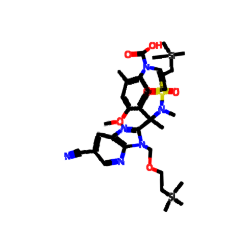 COc1cc(C)c2c(ccn2C(=O)O)c1C(C)(c1nc2cc(C#N)cnc2n1COCC[Si](C)(C)C)N(C)S(=O)(=O)CC[Si](C)(C)C